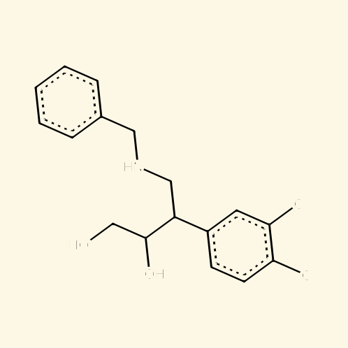 OCC(O)C(CNCc1ccccc1)c1ccc(Cl)c(Cl)c1